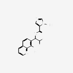 CC(C)C(NC(=O)c1cncn1C)c1ccc2cccnc2c1O